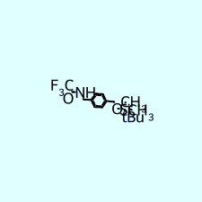 CC(C)(C)[Si](C)(C)OCc1ccc(CNC(=O)C(F)(F)F)cc1